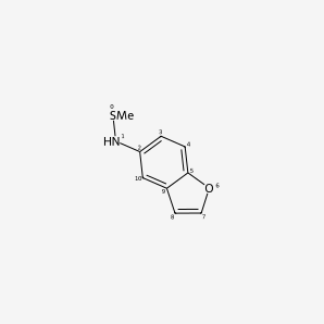 CSNc1ccc2occc2c1